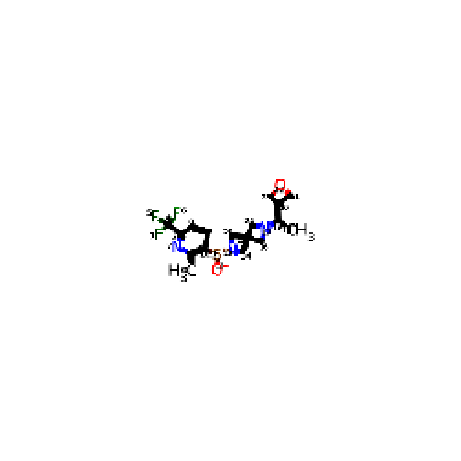 Cc1nc(C(F)(F)F)ccc1[S+]([O-])N1CC2(CN(C(C)C3COC3)C2)C1